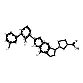 O=C(O)C1CCN(C2CCc3c2cc2cc(-c4cccc(-c5cccc(F)c5)c4Cl)oc2c3F)C1